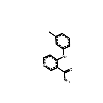 Cc1cccc(Nc2ccncc2C(N)=O)c1